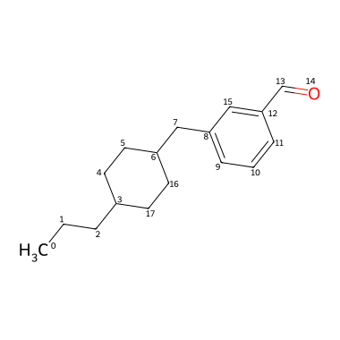 CCCC1CCC(Cc2cccc(C=O)c2)CC1